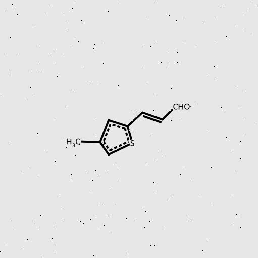 Cc1csc(C=C[C]=O)c1